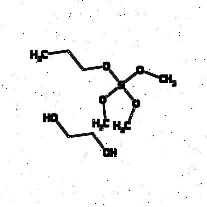 CCCO[Si](OC)(OC)OC.OCCO